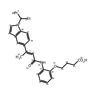 CCCC(CC)n1ccc2cc(/C(C)=C/C(=O)Nc3ccccc3OCCCC(=O)O)ccc21